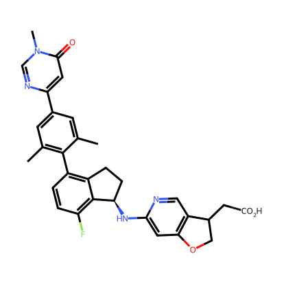 Cc1cc(-c2cc(=O)n(C)cn2)cc(C)c1-c1ccc(F)c2c1CC[C@H]2Nc1cc2c(cn1)C(CC(=O)O)CO2